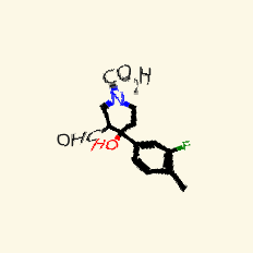 Cc1ccc(C2(O)CCN(C(=O)O)CC2C=O)cc1F